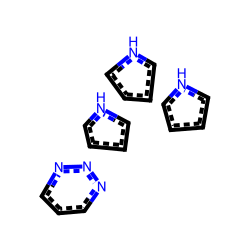 c1cc[nH]c1.c1cc[nH]c1.c1cc[nH]c1.c1cnnnc1